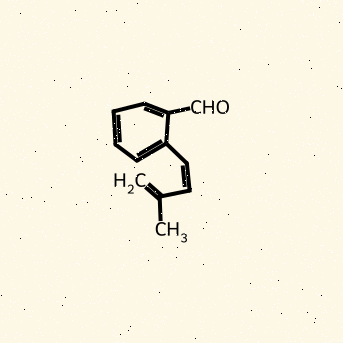 C=C(C)/C=C\c1ccccc1C=O